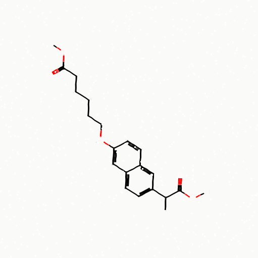 COC(=O)CCCCCOc1ccc2cc(C(C)C(=O)OC)ccc2c1